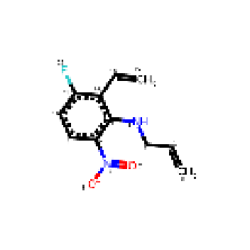 C=CCNc1c([N+](=O)[O-])ccc(F)c1C=C